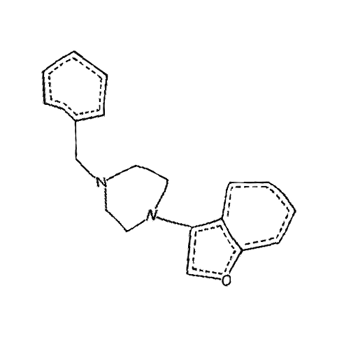 c1ccc(CN2CCN(c3coc4ccccc34)CC2)cc1